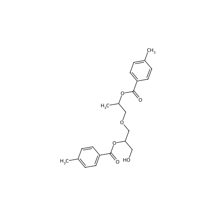 Cc1ccc(C(=O)OC(C)COCC(CO)OC(=O)c2ccc(C)cc2)cc1